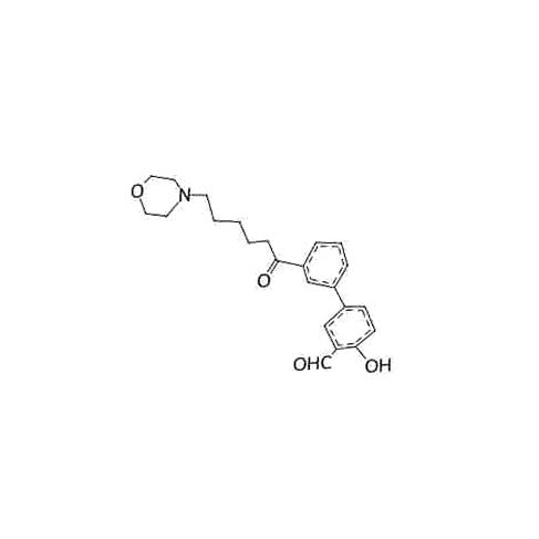 O=Cc1cc(-c2cccc(C(=O)CCCCCN3CCOCC3)c2)ccc1O